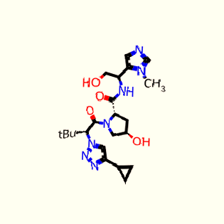 Cn1cncc1C(CO)NC(=O)[C@@H]1C[C@@H](O)CN1C(=O)[C@@H](n1cc(C2CC2)nn1)C(C)(C)C